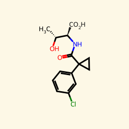 C[C@@H](O)[C@H](NC(=O)C1(c2cccc(Cl)c2)CC1)C(=O)O